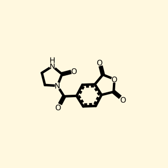 O=C1OC(=O)c2cc(C(=O)N3CCNC3=O)ccc21